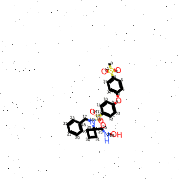 CS(=O)(=O)c1ccc(Oc2ccc(S(=O)(=O)N(Cc3ccccc3)C3(C(=O)NO)CCC3)cc2)cc1